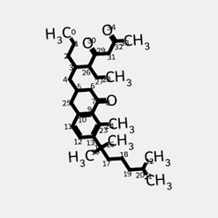 CCCC(CC1CC(=O)c2c(ccc(C(C)(C)CCCC(C)C)c2C)C1)C(CC)C(=O)CC(C)=O